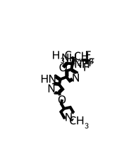 CC(C)[C@](NCC(F)(F)F)(C(N)=O)c1cncc(-c2c[nH]c3ncc(OCC4CCN(C)CC4)cc23)c1